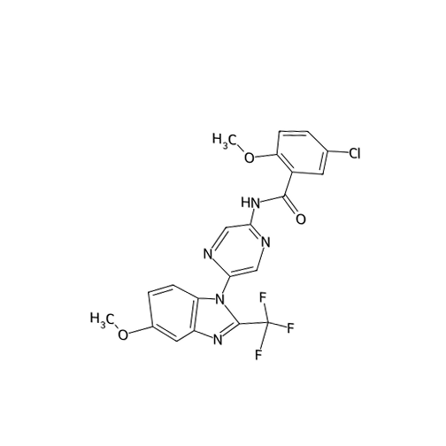 COc1ccc2c(c1)nc(C(F)(F)F)n2-c1cnc(NC(=O)c2cc(Cl)ccc2OC)cn1